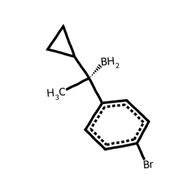 B[C@@](C)(c1ccc(Br)cc1)C1CC1